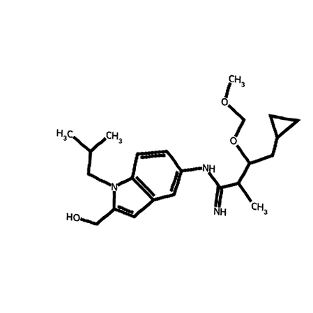 COCOC(CC1CC1)C(C)C(=N)Nc1ccc2c(c1)cc(CO)n2CC(C)C